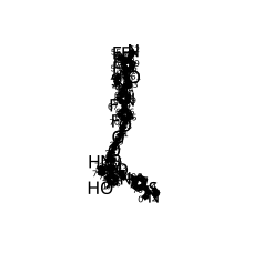 Cc1ncsc1-c1ccc(CNC(=O)[C@@H]2C[C@@H](O)CN2C(=O)[C@@H](NC(=O)COCCOCCOc2ccc(-c3ncc(N4CSCN(c5ccc(C#N)c(C(F)(F)F)c5F)C(=O)C4(C)C)cc3F)cc2F)C(C)(C)C)cc1